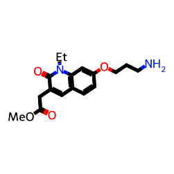 CCn1c(=O)c(CC(=O)OC)cc2ccc(OCCCN)cc21